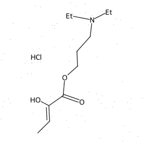 CC=C(O)C(=O)OCCCN(CC)CC.Cl